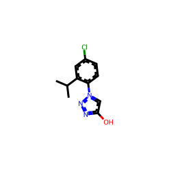 CC(C)c1cc(Cl)ccc1-n1cc(O)nn1